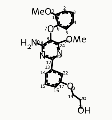 COc1ccccc1Oc1c(N)nc(-c2cccc(OCCO)c2)nc1OC